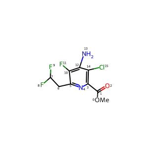 COC(=O)c1nc(CC(F)F)c(F)c(N)c1Cl